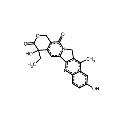 CCC1(O)C(=O)OCc2c1cc1n(c2=O)Cc2c-1nc1ccc(O)cc1c2C